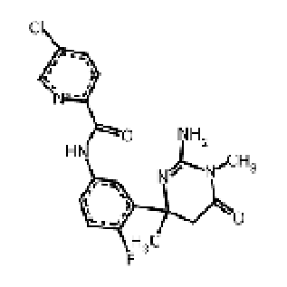 CN1C(=O)CC(C)(c2cc(NC(=O)c3ccc(Cl)cn3)ccc2F)N=C1N